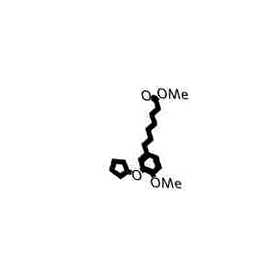 COC(=O)CCCCCCc1ccc(OC)c(OC2CCCC2)c1